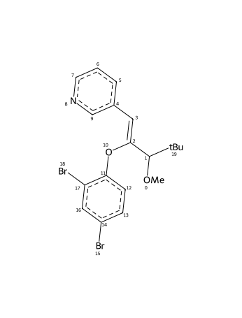 COC(C(=Cc1cccnc1)Oc1ccc(Br)cc1Br)C(C)(C)C